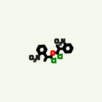 CC(c1ccccc1[N+](=O)[O-])C(Cl)OC(Cl)C(C)c1ccccc1[N+](=O)[O-]